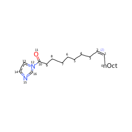 CCCCCCCC/C=C\CCCCCCCC(=O)n1ccnc1